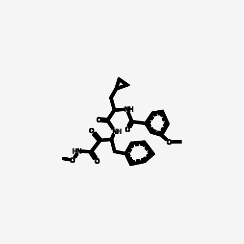 CONC(=O)C(=O)C(Cc1ccccc1)NC(=O)C(CC1CC1)NC(=O)c1cccc(OC)c1